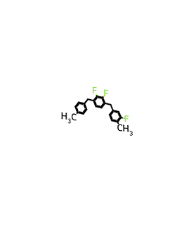 Cc1ccc(Cc2ccc(Cc3ccc(C)c(F)c3)c(F)c2F)cc1